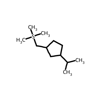 CC(C)C1CCC(CS(C)(C)C)C1